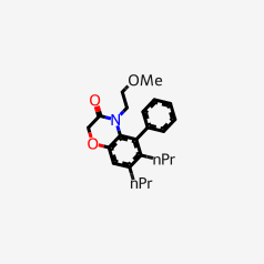 CCCc1cc2c(c(-c3ccccc3)c1CCC)N(CCOC)C(=O)CO2